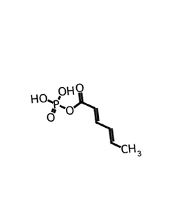 CC=CC=CC(=O)OP(=O)(O)O